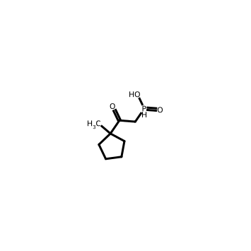 CC1(C(=O)C[PH](=O)O)CCCC1